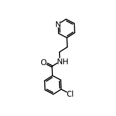 O=C(NCCc1cccnc1)c1cccc(Cl)c1